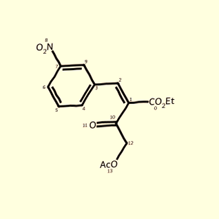 CCOC(=O)/C(=C/c1cccc([N+](=O)[O-])c1)C(=O)COC(C)=O